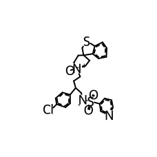 CN(CC(CC[N+]1([O-])CCC2(CC1)CSc1ccccc12)c1ccc(Cl)cc1)S(=O)(=O)c1cccnc1